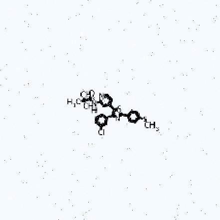 CSc1ccc(-c2nc(-c3cccc(Cl)c3)c(-c3ccnc(NC(=O)C(C)(C)C)c3)s2)cc1